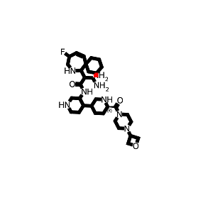 NC(N)C(C(=O)NC1CNCCC1C1CC[C@H](C(=O)N2CCN(C3COC3)CC2)NC1)C1NCC(F)C=CC12CCCCC2